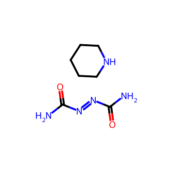 C1CCNCC1.NC(=O)N=NC(N)=O